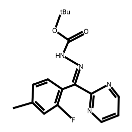 Cc1ccc(/C(=N\NC(=O)OC(C)(C)C)c2ncccn2)c(F)c1